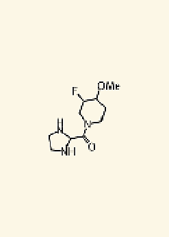 COC1CCN(C(=O)C2NCCN2)CC1F